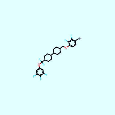 CCCc1ccc(OCC2CCC(C3CCC(C(F)(F)Oc4cc(F)c(F)c(F)c4)CC3)CC2)c(F)c1F